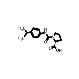 CC(C)c1ccc(NC(=O)N2CCC[C@H]2C(=O)O)cc1